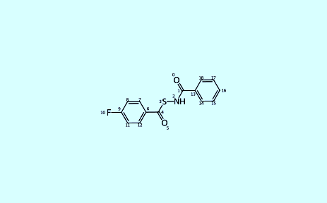 O=C(NSC(=O)c1ccc(F)cc1)c1ccccc1